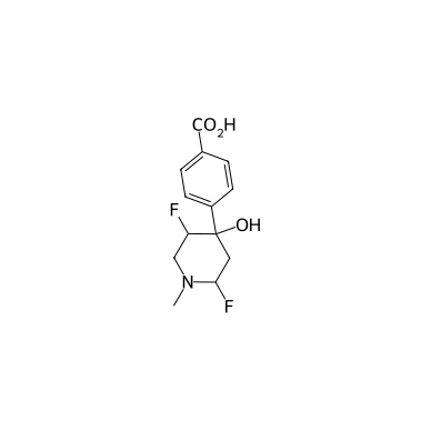 CN1CC(F)C(O)(c2ccc(C(=O)O)cc2)CC1F